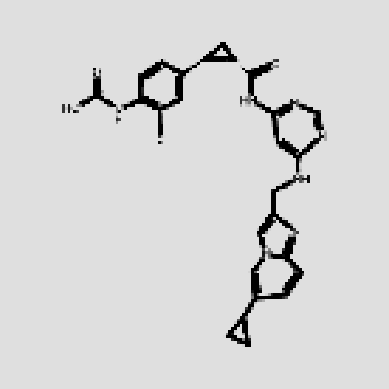 O=C(O)Nc1ccc([C@H]2C[C@@H]2C(=O)Nc2cc(NCc3cn4cc(C5CC5)ccc4n3)ncn2)cc1Cl